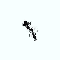 CN(CCCCC(=O)Nc1ccc(C=O)cc1)C(=O)CCN1CCC(OC(=O)NNc2ccccc2-c2ccccc2)CC1